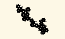 CC1(C)c2ccccc2-c2cccc(-c3ccc(N(c4ccccc4)c4ccc5c(c4)C4(c6ccccc6-c6ccccc64)c4ccc(-c6ccc7c(c6)-c6cccc(-c8ccc(N(c9ccc%10c(c9)C9(c%11ccccc%11-c%11ccccc%119)c9ccccc9-%10)c9ccc%10c(c9)oc9ccccc9%10)cc8)c6C7(C)C)cc4-5)cc3)c21